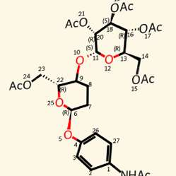 CC(=O)Nc1ccc(O[C@@H]2CCC(O[C@H]3O[C@H](COC(C)=O)[C@@H](OC(C)=O)[C@H](OC(C)=O)[C@H]3OC(C)=O)[C@@H](COC(C)=O)O2)cc1